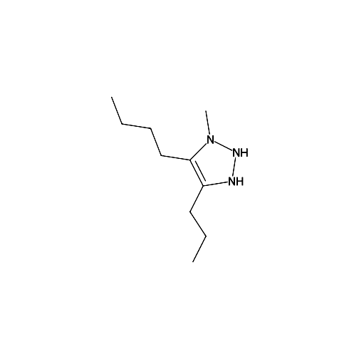 CCCCC1=C(CCC)NNN1C